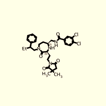 CCC(CN1CC[C@@H](CNC(=O)c2ccc(Cl)c(Cl)c2)N[C@@H](CCN2C(=O)CC(C)(C)C2=O)C1=O)c1ccccc1